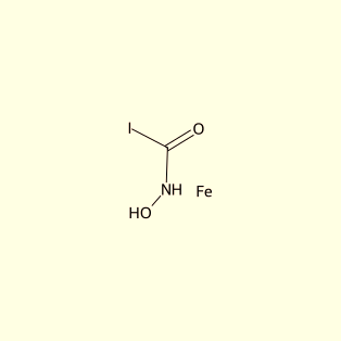 O=C(I)NO.[Fe]